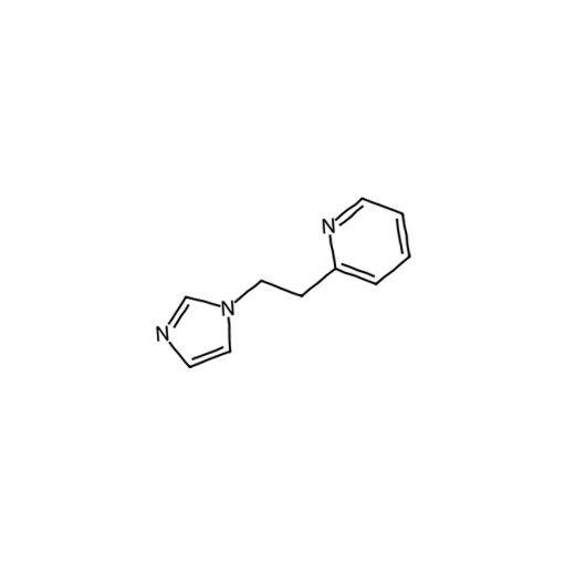 c1ccc(CCn2ccnc2)nc1